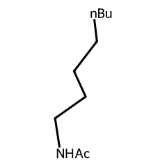 [CH2]C(=O)NCCCCCCCC